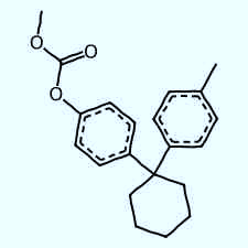 COC(=O)Oc1ccc(C2(c3ccc(C)cc3)CCCCC2)cc1